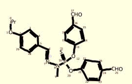 CC(C)Oc1ccc(/C=N/N(C)P(=S)(Oc2ccc(C=O)cc2)Oc2ccc(C=O)cc2)cc1